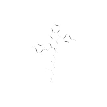 NCCC(N)CNCC/N=c1/cc2n(-c3ccc(Cl)cc3)c3ccccc3nc-2cc1Nc1ccc(Cl)cc1